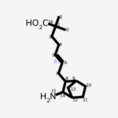 CC(C)(CC/C=C/CC1C2CCC(C2)C1N)C(=O)O